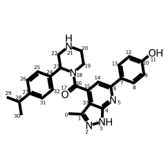 Cc1n[nH]c2nc(-c3ccc(O)cc3)cc(C(=O)N3CCNCC3c3ccc(C(C)C)cc3)c12